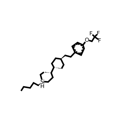 CCCCC[Si@H]1CC[C@H]([C@H]2CC[C@H](CCc3ccc(OCC(F)(F)F)cc3)CC2)CC1